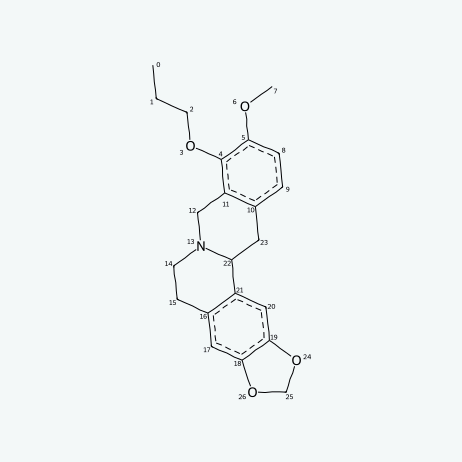 CCCOc1c(OC)ccc2c1CN1CCc3cc4c(cc3C1C2)OCO4